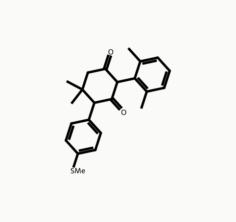 CSc1ccc(C2C(=O)C(c3c(C)cccc3C)C(=O)CC2(C)C)cc1